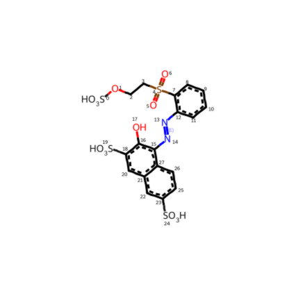 O=S(=O)(O)OCCS(=O)(=O)c1ccccc1/N=N/c1c(O)c(S(=O)(=O)O)cc2cc(S(=O)(=O)O)ccc12